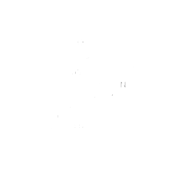 O=C1OC2(CCC3(CC2)OCCO3)c2cnccc21